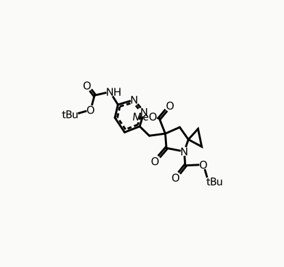 COC(=O)C1(Cc2ccc(NC(=O)OC(C)(C)C)nn2)CC2(CC2)N(C(=O)OC(C)(C)C)C1=O